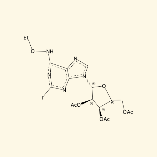 CCONc1nc(I)nc2c1ncn2[C@@H]1O[C@H](COC(C)=O)[C@@H](OC(C)=O)[C@H]1OC(C)=O